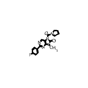 Cn1c(=O)n(C(=O)N2CCCC2)c2cnc(-c3ccc(F)cc3)nc21